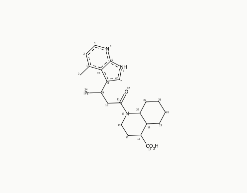 Cc1ccnc2[nH]cc(C(CC(=O)N3CCC(C(=O)O)C4CCCCC43)C(C)C)c12